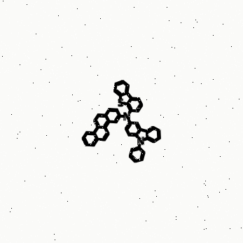 c1ccc(-n2c3ccccc3c3cc(N(c4ccc5ccc6c7ccccc7ccc6c5c4)c4cccc5c4sc4ccccc45)ccc32)cc1